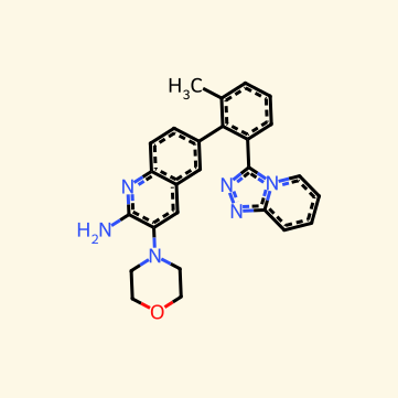 Cc1cccc(-c2nnc3ccccn23)c1-c1ccc2nc(N)c(N3CCOCC3)cc2c1